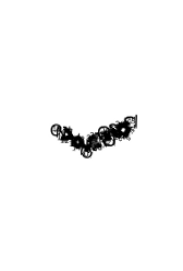 O=C(c1ccc(-c2cc[n+]([O-])cc2)cc1)N1CCN(S(=O)(=O)c2cc3ccc(Cl)cc3s2)CC1